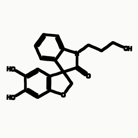 O=C1N(CCCO)c2ccccc2C12COc1cc(O)c(O)cc12